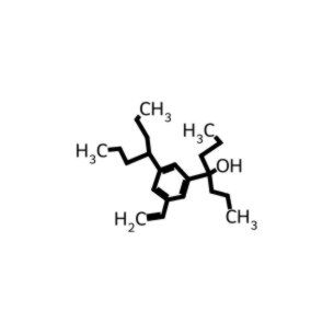 C=Cc1cc(C(CCC)CCC)cc(C(O)(CCC)CCC)c1